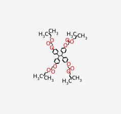 CC(C)=CCOC(=O)COc1ccc(C(c2ccc(OCC(=O)OCC=C(C)C)cc2)C(c2ccc(OCC(=O)OCC=C(C)C)cc2)c2ccc(OCC(=O)OCC=C(C)C)cc2)cc1